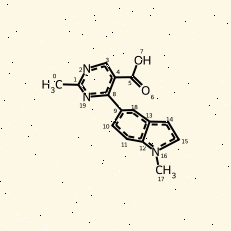 Cc1ncc(C(=O)O)c(-c2ccc3c(ccn3C)c2)n1